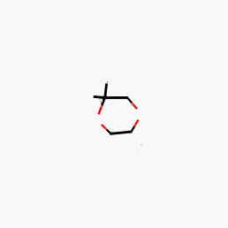 CC(C)[C@@H]1COC(C)(C)CO1